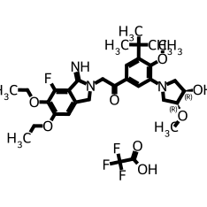 CCOc1cc2c(c(F)c1OCC)C(=N)N(CC(=O)c1cc(N3C[C@@H](O)[C@H](OC)C3)c(OC)c(C(C)(C)C)c1)C2.O=C(O)C(F)(F)F